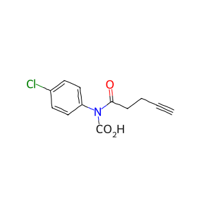 C#CCCC(=O)N(C(=O)O)c1ccc(Cl)cc1